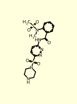 CN(c1ccccc1C(=O)Nc1ccc(S(=O)(=O)N2CCNCC2)nn1)S(C)(=O)=O